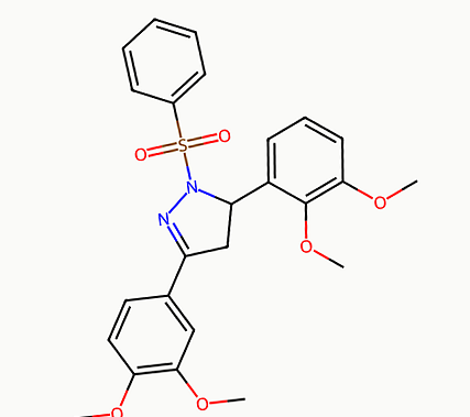 COc1ccc(C2=NN(S(=O)(=O)c3ccccc3)C(c3cccc(OC)c3OC)C2)cc1OC